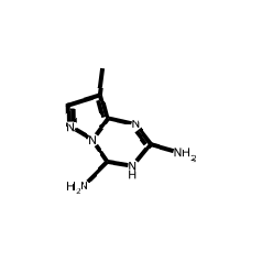 Cc1cnn2c1N=C(N)NC2N